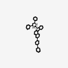 c1ccc(-c2ccc(-c3ccc4c(ccc5c4c4ccccc4n5-c4nc(-c5ccccc5)cc(-c5ccccc5)n4)c3)cc2)cc1